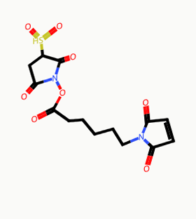 O=C(CCCCCN1C(=O)C=CC1=O)ON1C(=O)CC([SH](=O)=O)C1=O